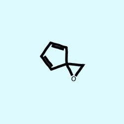 C1=CC2(C=C1)CO2